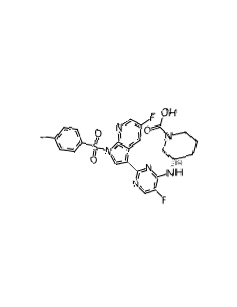 Cc1ccc(S(=O)(=O)n2cc(-c3ncc(F)c(N[C@H]4CCCN(C(=O)O)C4)n3)c3cc(F)cnc32)cc1